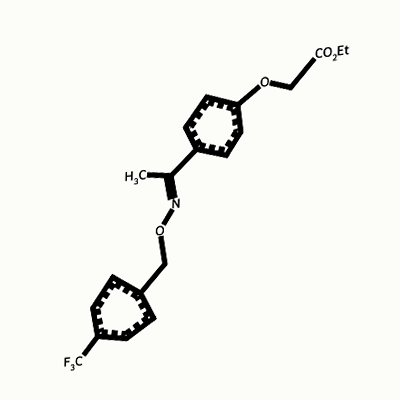 CCOC(=O)COc1ccc(C(C)=NOCc2ccc(C(F)(F)F)cc2)cc1